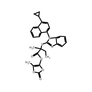 CCC(C)(Sc1nc2ccccc2n1-c1ccc(C2CC2)c2ccccc12)C(=O)Oc1oc(=O)oc1C